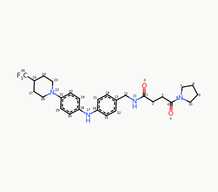 O=C(CCC(=O)N1CCCC1)NCc1ccc(Nc2ccc(N3CCC(C(F)(F)F)CC3)cc2)cc1